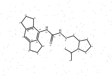 CC(C)N1CCCC1CSNC(=O)Nc1c2c(cc3c1CCC3)CCC2